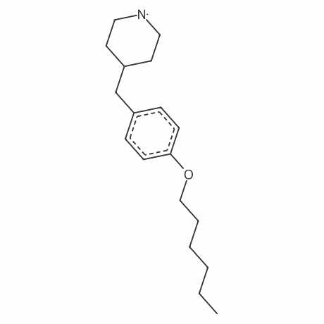 CCCCCCOc1ccc(CC2CC[N]CC2)cc1